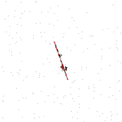 CCCCCCCCCCCCCCCCCCCC(=O)CCCCCCCCCCCCCCC(=O)N[C@H](CO)CCCCCCCCCCCCCCCC